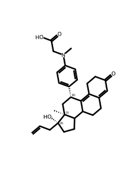 C=CC[C@]1(O)CCC2C3CCC4=CC(=O)CCC4=C3[C@@H](c3ccc(N(C)CC(=O)O)cc3)C[C@@]21C